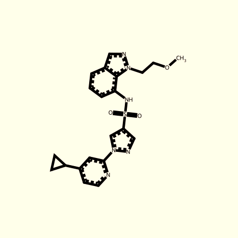 COCCn1ncc2cccc(NS(=O)(=O)c3cnn(-c4cc(C5CC5)ccn4)c3)c21